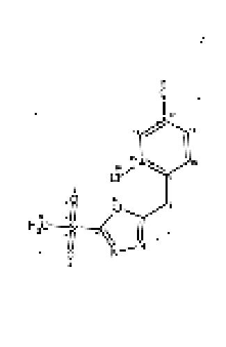 CS(=O)(=O)c1nnc(Cc2ccc(Cl)cc2Cl)o1